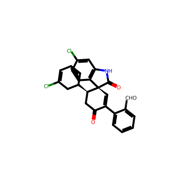 O=Cc1ccccc1C1=C[C@@]2(C(=O)Nc3cc(Cl)ccc32)[C@H](C2C=CC=C(Cl)C2)CC1=O